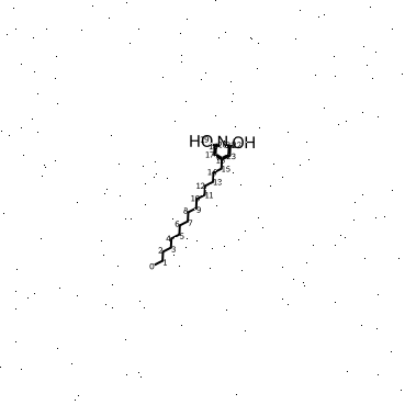 CCCCCCCCCCCCCCCCc1cc(O)nc(O)c1